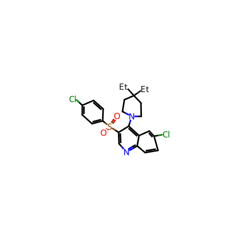 CCC1(CC)CCN(c2c(S(=O)(=O)c3ccc(Cl)cc3)cnc3ccc(Cl)cc23)CC1